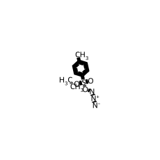 CC.Cc1ccc(S(=O)(=O)ON=[N+]=[N-])cc1